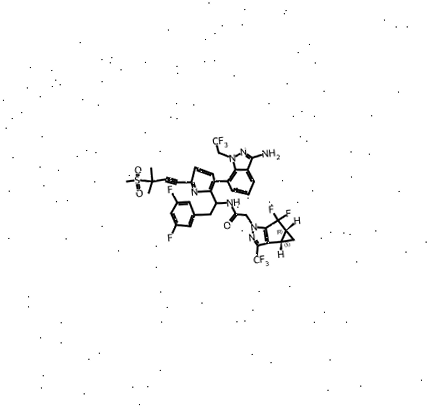 CC(C)(C#Cc1ccc(-c2cccc3c(N)nn(CC(F)(F)F)c23)c(C(Cc2cc(F)cc(F)c2)NC(=O)Cn2nc(C(F)(F)F)c3c2C(F)(F)[C@@H]2C[C@H]32)n1)S(C)(=O)=O